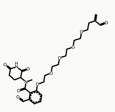 C=C(C=O)CCOCCOCCOCCOCCOc1cccc(C=O)c1C(=O)N(C)C1CCC(=O)NC1=O